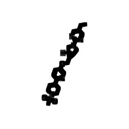 CCc1cnc(N2CC3C(COc4ccc(C5=CCN(S(C)(=O)=O)CC5)nc4)[C@@H]3C2)nc1